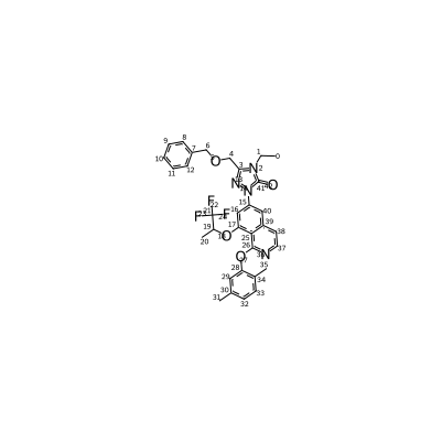 CCn1c(COCc2ccccc2)nn(-c2cc(OC(C)C(F)(F)F)c3c(Oc4cc(C)ccc4C)nccc3c2)c1=O